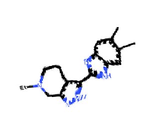 CCN1CCc2c(n[nH]c2-c2nc3cc(C)c(C)cc3[nH]2)C1